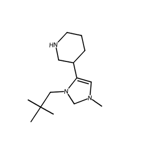 CN1C=C(C2CCCNC2)N(CC(C)(C)C)C1